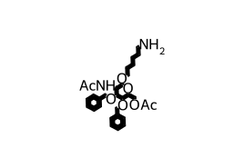 CC(=O)NC1C(OCCCCCCN)OC(COC(C)=O)C(OCc2ccccc2)C1OCc1ccccc1